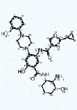 Cc1ccccc1N1CCN(c2cc(O)c(C(=O)N[C@H]3CCC[C@H](O)[C@@H]3N)cc2NC(=O)c2coc(C3CC3)n2)CC1